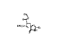 CCOC(=O)[C@@H]1C[C@@]2(CC(CC)NC2=O)CN1C(=O)OC(C)(C)C